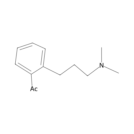 CC(=O)c1ccccc1CCCN(C)C